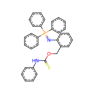 S=C(Nc1ccccc1)OCc1ccccc1N=P(c1ccccc1)(c1ccccc1)c1ccccc1